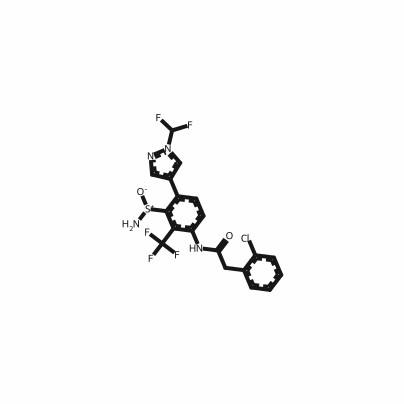 N[S+]([O-])c1c(-c2cnn(C(F)F)c2)ccc(NC(=O)Cc2ccccc2Cl)c1C(F)(F)F